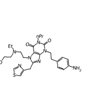 CCCn1c(=O)c2c(nc(Cc3cscn3)n2CCN(CC)CCO)n(CCc2ccc(N)cc2)c1=O